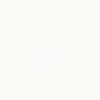 O=C1c2cc(O)ccc2C(=NNc2ccc([N+](=O)[O-])cc2[N+](=O)[O-])c2cc(O)ccc21